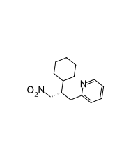 O=[N+]([O-])C[C@@H](Cc1ccccn1)C1CCCCC1